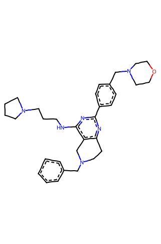 c1ccc(CN2CCc3nc(-c4ccc(CN5CCOCC5)cc4)nc(NCCCN4CCCC4)c3C2)cc1